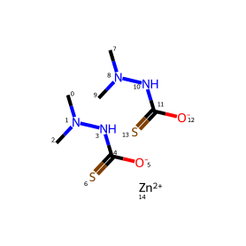 CN(C)NC([O-])=S.CN(C)NC([O-])=S.[Zn+2]